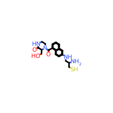 NC(CS)CNc1ccc2c(C(=O)N3CCNC(=O)C3CO)cccc2c1